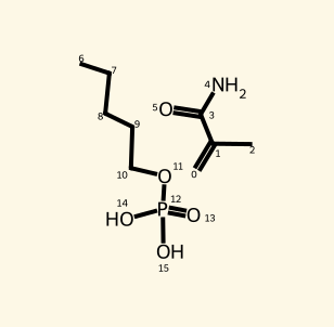 C=C(C)C(N)=O.CCCCCOP(=O)(O)O